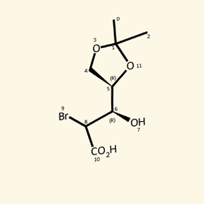 CC1(C)OC[C@H]([C@@H](O)C(Br)C(=O)O)O1